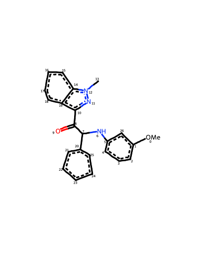 COc1cccc(NC(C(=O)c2nn(C)c3ccccc23)c2ccccc2)c1